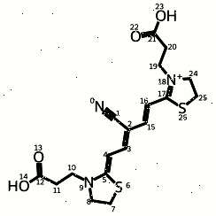 N#CC(=C\C=C1/SCCN1CCC(=O)O)/C=C/C1=[N+](CCC(=O)O)CCS1